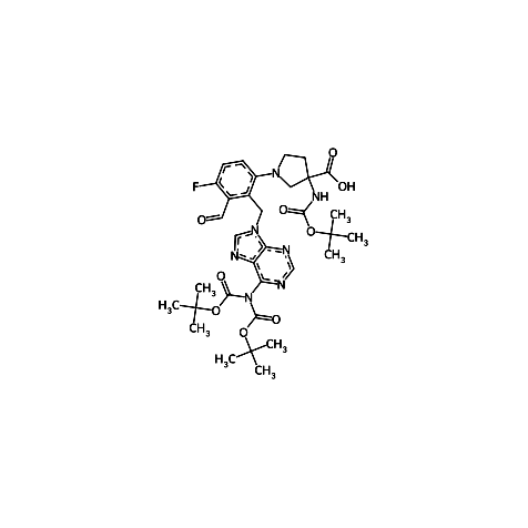 CC(C)(C)OC(=O)NC1(C(=O)O)CCN(c2ccc(F)c(C=O)c2Cn2cnc3c(N(C(=O)OC(C)(C)C)C(=O)OC(C)(C)C)ncnc32)C1